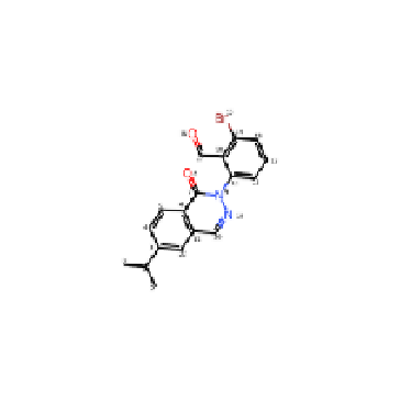 CC(C)c1ccc2c(=O)n(-c3cccc(Br)c3C=O)ncc2c1